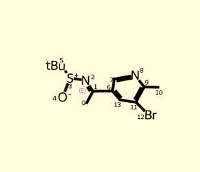 C/C(=N\[S+]([O-])C(C)(C)C)c1cnc(C)c(Br)c1